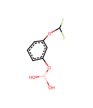 OB(O)Oc1cccc(OC(F)F)c1